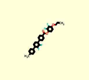 C=CCOc1ccc(OC(=O)c2ccc(-c3ccc(-c4ccc(C)cc4)c(F)c3F)cc2)c(F)c1F